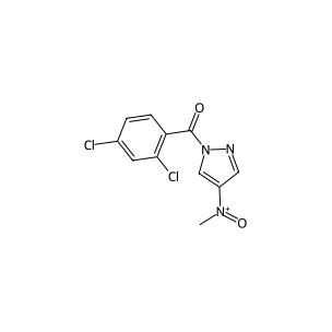 C[N+](=O)c1cnn(C(=O)c2ccc(Cl)cc2Cl)c1